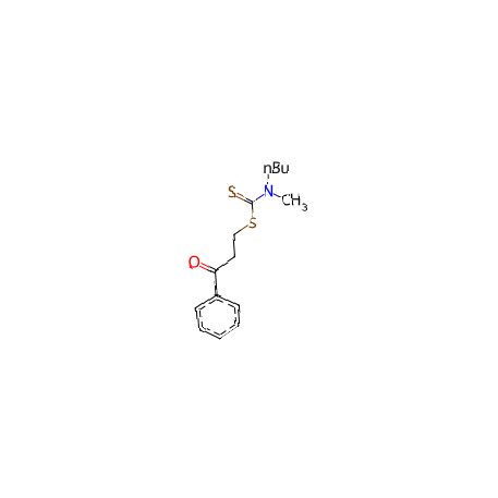 CCCCN(C)C(=S)SCCC(=O)c1ccccc1